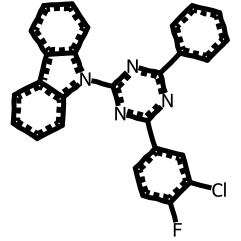 Fc1ccc(-c2nc(-c3ccccc3)nc(-n3c4ccccc4c4ccccc43)n2)cc1Cl